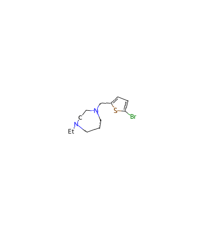 CCN1CCCN(Cc2ccc(Br)s2)CC1